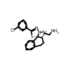 CC(=O)N1N=C(c2cccc(Cl)c2)S[C@]12c1ccccc1CC[C@@H]2CCN